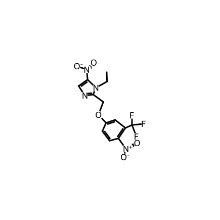 CCn1c([N+](=O)[O-])cnc1COc1ccc([N+](=O)[O-])c(C(F)(F)F)c1